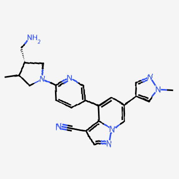 CC1CN(c2ccc(-c3cc(-c4cnn(C)c4)cn4ncc(C#N)c34)cn2)C[C@H]1CN